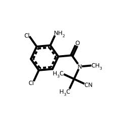 CN(C(=O)c1cc(Cl)cc(Cl)c1N)C(C)(C)C#N